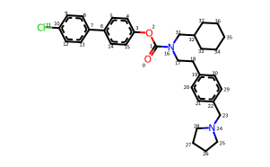 O=C(Oc1ccc(-c2ccc(Cl)cc2)cc1)N(CCc1ccc(CN2CCCC2)cc1)CC1CCCCC1